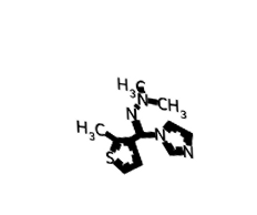 Cc1sccc1C(=NN(C)C)n1ccnc1